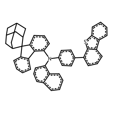 c1ccc2c(c1)-c1c(N(c3ccc(-c4cccc5c4sc4ccccc45)cc3)c3cccc4ccccc34)cccc1C21C2CC3CC(C2)CC1C3